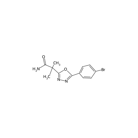 CC(C)(C(N)=O)c1nnc(-c2ccc(Br)cc2)o1